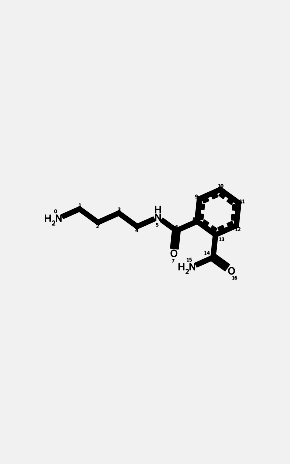 NCCCCNC(=O)c1ccccc1C(N)=O